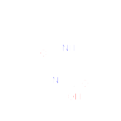 COc1ccccc1Nc1ccnc(C(=O)O)c1